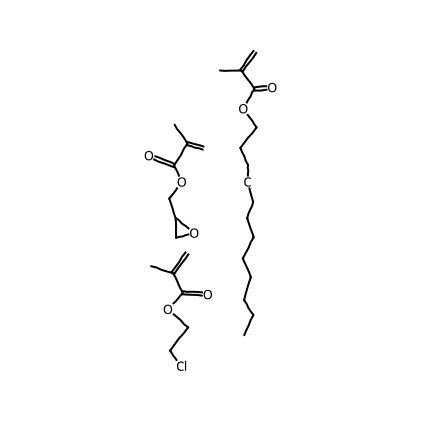 C=C(C)C(=O)OCC1CO1.C=C(C)C(=O)OCCCCCCCCCCCC.C=C(C)C(=O)OCCCl